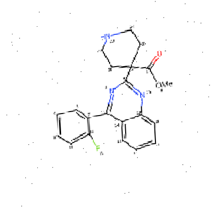 COC(=O)C1(c2nc(-c3ccccc3F)c3ccccc3n2)CCNCC1